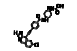 Nc1ncc2ccc(Cl)cc2c1C#Cc1ccc(C(=O)N[C@H]2CC[C@H](NC(=O)O)CC2)cc1